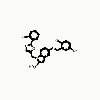 O=C(O)c1cc2cc(OCc3cc(O)ccc3Cl)ccc2n1CC1=COC(c2ccccc2Cl)O1